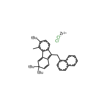 Cc1c(C(C)(C)C)ccc2c1C1=CC(C(C)(C)C)(C(C)(C)C)C=CC1=C2Cc1cccc2ccccc12.[Cl-].[Cl-].[Zr+2]